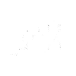 CCc1cc2nc(C(=O)Nc3cnccc3N3C[C@H](C)C[C@H](N)C3)ccc2s1